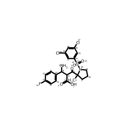 CC1(C(=O)C(C(=O)O)C(N)c2ccc(F)cc2)CCCN1S(=O)(=O)c1cc(Cl)cc(Cl)c1